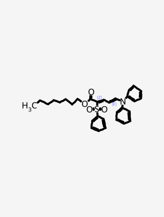 CCCCCCCCOC(=O)/C(=C/C=C/N(c1ccccc1)c1ccccc1)S(=O)(=O)c1ccccc1